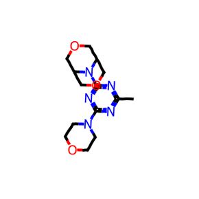 Cc1nc(N2CCOCC2)nc(N2C3COCC2COC3)n1